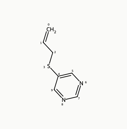 C=CCSc1cncnc1